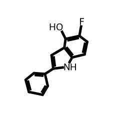 Oc1c(F)ccc2[nH]c(-c3ccccc3)cc12